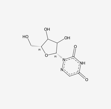 O=c1cnn([C@@H]2O[C@H](CO)C(O)C2O)c(=O)[nH]1